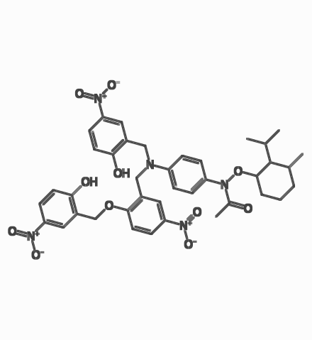 CC(=O)N(OC1CCCC(C)C1C(C)C)c1ccc(N(Cc2cc([N+](=O)[O-])ccc2O)Cc2cc([N+](=O)[O-])ccc2OCc2cc([N+](=O)[O-])ccc2O)cc1